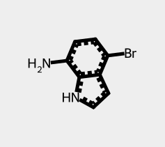 Nc1ccc(Br)c2cc[nH]c12